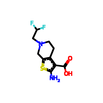 Nc1sc2c(c1C(=O)O)CCN(CC(F)F)C2